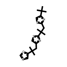 CC(C)(C)c1csc(CC(C)(C)c2nc(CC(C)(C)c3cnco3)cs2)n1